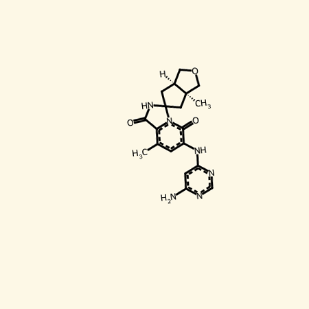 Cc1cc(Nc2cc(N)ncn2)c(=O)n2c1C(=O)NC21C[C@H]2COC[C@@]2(C)C1